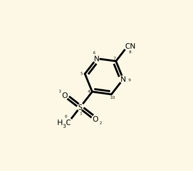 CS(=O)(=O)c1cnc(C#N)nc1